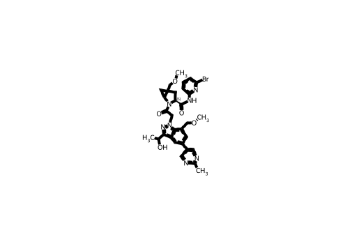 COCc1cc(-c2cnc(C)nc2)cc2c(C(C)O)nn(CC(=O)N3C4CC4(COC)C[C@H]3C(=O)Nc3cccc(Br)n3)c12